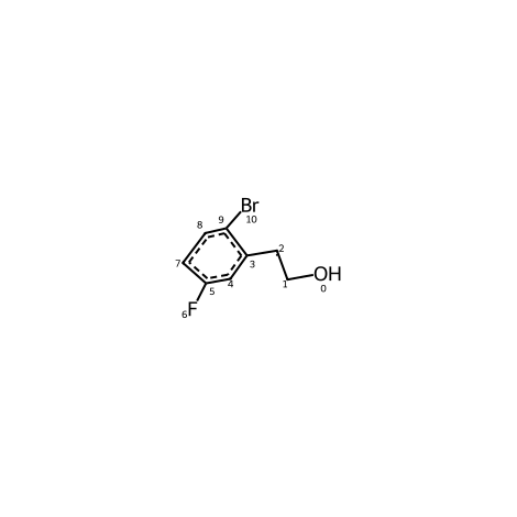 OC[CH]c1cc(F)ccc1Br